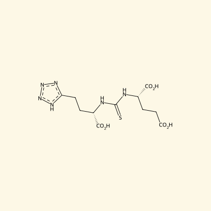 O=C(O)CC[C@H](NC(=S)N[C@@H](CCc1nnn[nH]1)C(=O)O)C(=O)O